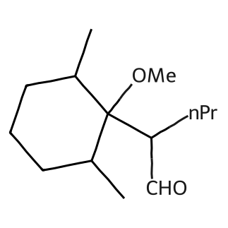 CCCC(C=O)C1(OC)C(C)CCCC1C